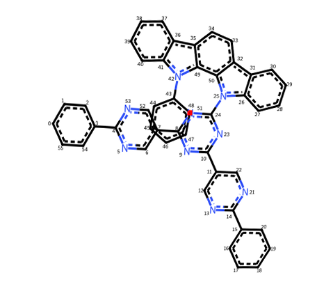 c1ccc(-c2ncc(-c3nc(-c4cnc(-c5ccccc5)nc4)nc(-n4c5ccccc5c5ccc6c7ccccc7n(-c7ccccc7)c6c54)n3)cn2)cc1